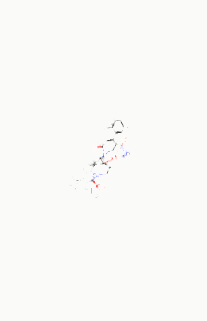 CC(CC1CCC1)C(=O)N1CC[C@](O)(Cn2cc(C(=O)N(C)C)c(-c3ccccc3F)cc2=O)C(C)(C)C1